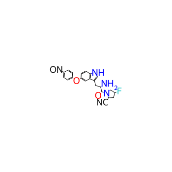 N#CC1CC(F)CN1C(=O)C(N)Cc1c[nH]c2ccc(Oc3ccc(N=O)cc3)cc12